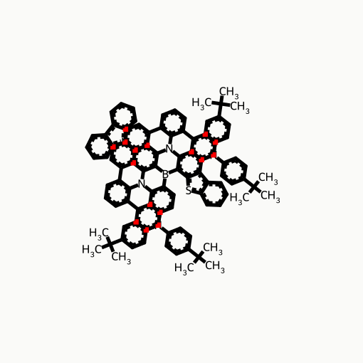 CC(C)(C)c1ccc(N(c2ccc(C(C)(C)C)cc2)c2ccc3c(c2)N(c2c(-c4ccccc4)cccc2-c2ccccc2)c2cc(-n4c5ccccc5c5ccccc54)cc4c2B3c2c(cc(N(c3ccc(C(C)(C)C)cc3)c3ccc(C(C)(C)C)cc3)c3c2sc2ccccc23)N4c2c(-c3ccccc3)cccc2-c2ccccc2)cc1